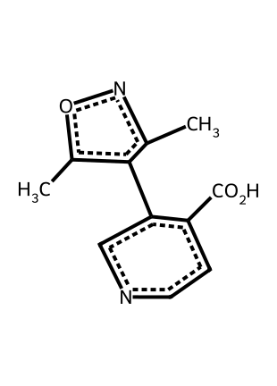 Cc1noc(C)c1-c1cnccc1C(=O)O